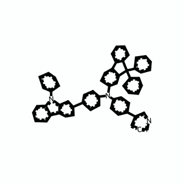 c1ccc(-n2c3ccccc3c3ccc(-c4ccc(N(c5ccc(-c6cccnc6)cc5)c5ccc6c(c5)C(c5ccccc5)(c5ccccc5)c5ccccc5-6)cc4)cc32)cc1